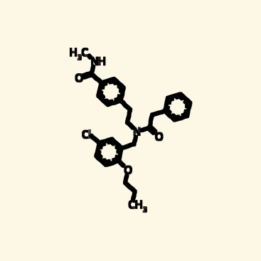 CCCOc1ccc(Cl)cc1CN(CCc1ccc(C(=O)NC)cc1)C(=O)Cc1ccccc1